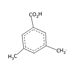 [CH2]c1cc(C)cc(C(=O)O)c1